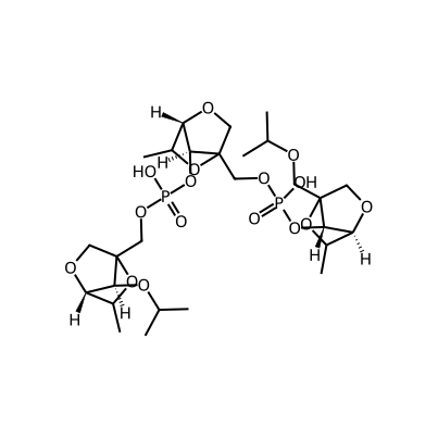 CC(C)OCC12CO[C@@H](C(C)O1)[C@@H]2OP(=O)(O)OCC12CO[C@@H](C(C)O1)[C@@H]2OP(=O)(O)OCC12CO[C@@H](C(C)O1)[C@@H]2OC(C)C